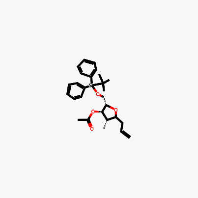 C=CCC1O[C@@H](CO[Si](c2ccccc2)(c2ccccc2)C(C)(C)C)[C@H](OC(C)=O)[C@H]1C